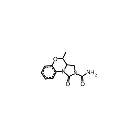 CC1Oc2ccccc2N2C(=O)N(C(N)=O)CC12